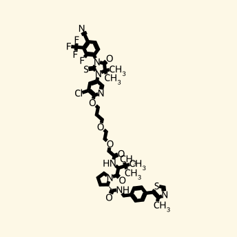 Cc1ncsc1-c1ccc(CNC(=O)[C@@H]2CCCN2C(=O)C(NC(=O)COCCOCCCOc2ncc(N3C(=S)N(c4ccc(C#N)c(C(F)(F)F)c4F)C(=O)C3(C)C)cc2Cl)C(C)(C)C)cc1